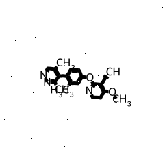 C#CC1=C(OC)CCN=C1Oc1ccc(-c2c(C)cnnc2C)c(C)c1